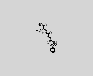 N[C@@H](CNC(=O)CCC(=O)NS(=O)(=O)c1ccccc1)C(=O)O